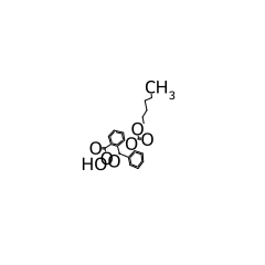 CCCCCCOC(=O)Oc1ccccc1C(=O)c1ccccc1C(=O)OO